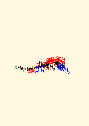 CCCCCCCC(O)CC(=O)SCCNC(=O)CCNC(=O)[C@H](O)C(C)(C)COP(=O)(O)OP(=O)(O)OC[C@H]1O[C@@H](n2cnc3c(N)ncnc32)[C@H](O)[C@@H]1OP(=O)(O)O